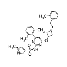 Cc1ccccc1CCN1CC(Oc2cc(-c3c(C)cccc3C)nc(NS(=O)(=O)c3cnn(C)c3)n2)C1